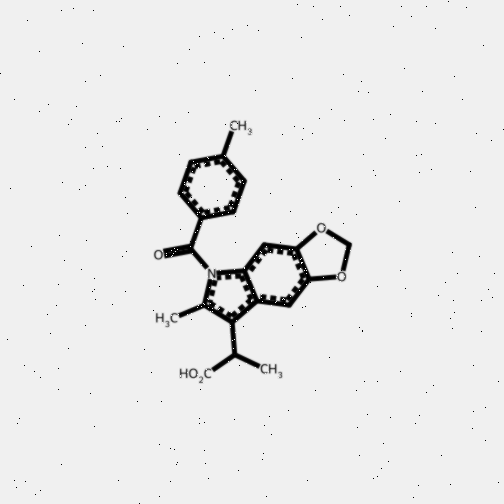 Cc1ccc(C(=O)n2c(C)c(C(C)C(=O)O)c3cc4c(cc32)OCO4)cc1